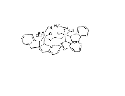 C[SiH2][Zr]([Cl])([Cl])([CH2]C[CH2][Zr]([Cl])([Cl])([SiH2]C)([CH]1C=Cc2ccccc21)[CH]1C=Cc2ccccc21)([CH]1C=Cc2ccccc21)[CH]1C=Cc2ccccc21